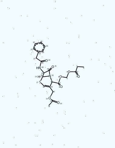 CCC(=O)OCOC(=O)C1C(COC(C)=O)=CS[C@H]2C(NC(=O)Cc3ccccc3)C(=O)N12